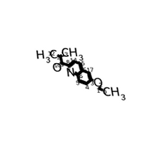 CCOc1ccc2nc(C(=O)C(C)C)ccc2c1